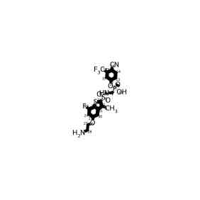 Cc1c(S(=O)(=O)NCP(=O)(O)Oc2ccc(C#N)c(C(F)(F)F)c2)sc2c(F)cc(OCCN)cc12